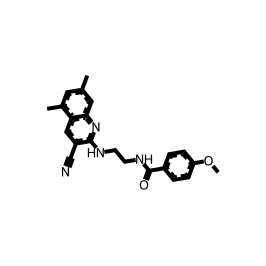 COc1ccc(C(=O)NCCNc2nc3cc(C)cc(C)c3cc2C#N)cc1